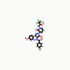 COc1ccc([C@@H]2CN(c3cccn(CC(OC)C(F)(F)F)c3=O)C(=O)[C@H]2NC(=O)c2ccc(Cl)cc2)cc1